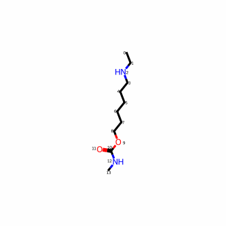 CCNCCCCCCOC(=O)NC